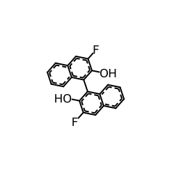 Oc1c(F)cc2ccccc2c1-c1c(O)c(F)cc2ccccc12